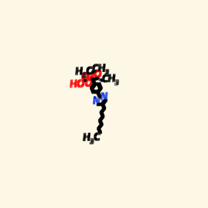 CCCCCCCCc1cnc(-c2ccc([C@]3(OC(=O)O)OC(C)(C)O[C@@H]3CC)cc2)nc1